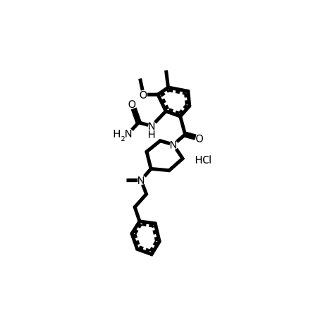 COc1c(C)ccc(C(=O)N2CCC(N(C)CCc3ccccc3)CC2)c1NC(N)=O.Cl